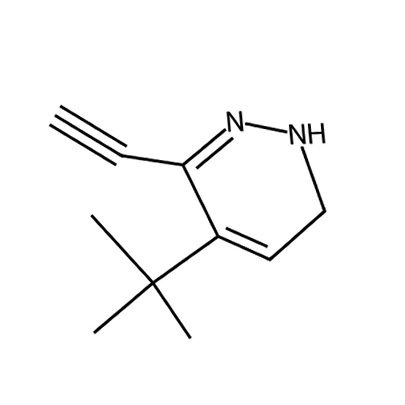 C#CC1=NNCC=C1C(C)(C)C